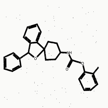 Cc1ccccc1OC(=O)NC1CCC2(CC1)OC(c1ccccc1)c1ccccc12